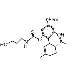 C=C(C)[C@@H]1CCC(C)=C[C@H]1c1c(O)cc(CCCCC)cc1OC(=S)NCCCO